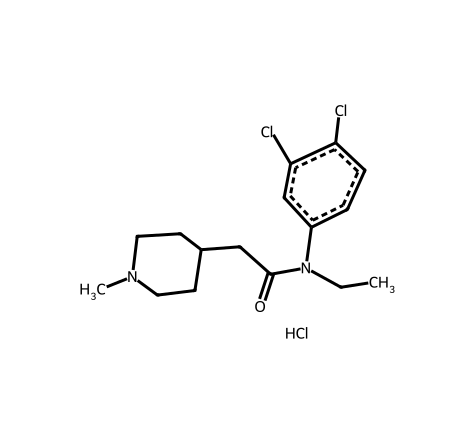 CCN(C(=O)CC1CCN(C)CC1)c1ccc(Cl)c(Cl)c1.Cl